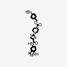 CC(C)(C)c1ccc(COC(=O)N2CCN(c3nc(C(=O)Nc4ccc5[nH]nnc5c4)cs3)CC2)cc1